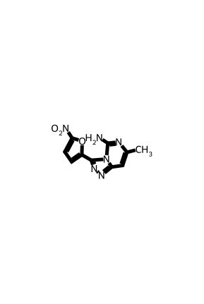 Cc1cc2nnc(-c3ccc([N+](=O)[O-])o3)n2c(N)n1